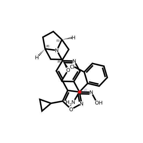 N/C(=N\O)c1ccc(N2[C@@H]3CC[C@H]2C[C@@H](OCc2c(-c4ccccc4Cl)noc2C2CC2)C3)nc1